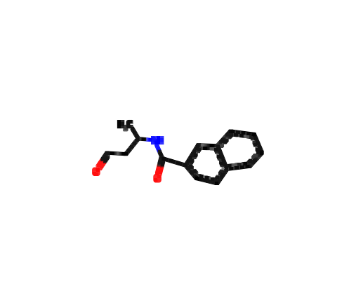 CC(CC=O)NC(=O)c1ccc2ccccc2c1